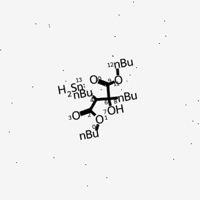 CCCCOC(=O)C(CCCC)C(O)(CCCC)C(=O)OCCCC.[SnH2]